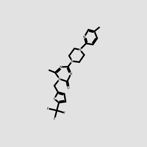 Cc1ccc(N2CCN(c3nc(C)n(Cc4ccc(C(F)(F)F)s4)c(=O)n3)CC2)nc1